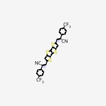 N#C/C(=C\c1cc2sc3c4sc(/C=C(\C#N)c5ccc(C(F)(F)F)cc5)cc4sc3c2s1)c1ccc(C(F)(F)F)cc1